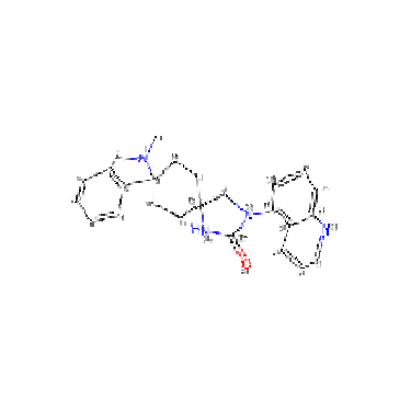 CN(C)C1(c2ccccc2)CCC2(CC1)CN(c1cccc3ncccc13)C(=O)N2